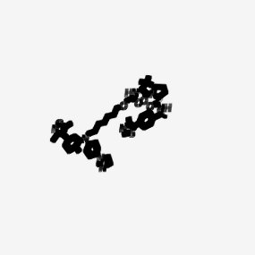 Cc1ccc(-c2c(C)noc2C)cc1N(CCCCCCCOCC(=O)N[C@H](C(=O)N1CCC[C@H]1C(=O)N[C@@H](C)c1ccc(-c2scnc2C)cc1)C(C)(C)C)c1ccc(-n2ccnc2)cc1